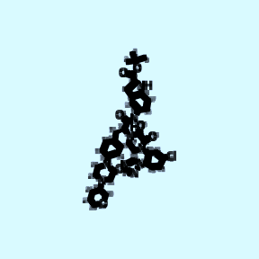 CC(C)(C)OC(=O)c1cc2cc(NC(=O)[C@H](Cc3ccc(N4CCN(C5CCCOC5)CC4=O)cc3)N3CCN(c4cc(Cl)ccc4-n4cnnn4)C(=O)C3=O)ccc2[nH]1